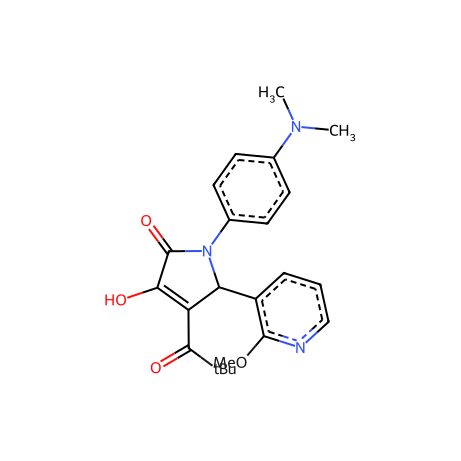 COc1ncccc1C1C(C(=O)C(C)(C)C)=C(O)C(=O)N1c1ccc(N(C)C)cc1